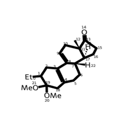 CCC1CC2=C(CC[C@@H]3C2=CC[C@]2(C)C(=O)CC[C@@H]32)CC1(OC)OC